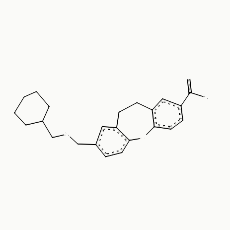 NC(=O)c1ccc2c(c1)CCc1cc(CNCC3CCCCC3)ccc1O2